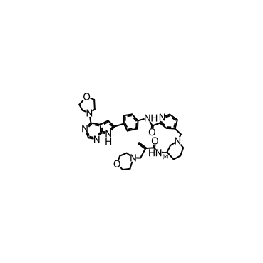 C=C(CN1CCOCC1)C(=O)N[C@@H]1CCCN(Cc2ccnc(C(=O)Nc3ccc(-c4cc5c(N6CCOCC6)ncnc5[nH]4)cc3)c2)C1